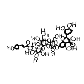 C[C@@H]1O[C@@H](O[C@@H]2[C@@H](O)[C@H](Oc3cc(O)c4c(=O)c(O)c(-c5ccc(O)c(O)c5)oc4c3)O[C@H](CO)[C@H]2O)[C@H](O[C@@H]2O[C@H](COC(=O)C=Cc3ccc(O)cc3)[C@@H](O)[C@H](O)[C@H]2O)[C@H](O)[C@H]1O